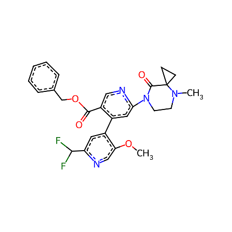 COc1cnc(C(F)F)cc1-c1cc(N2CCN(C)C3(CC3)C2=O)ncc1C(=O)OCc1ccccc1